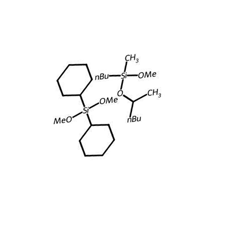 CCCCC(C)O[Si](C)(CCCC)OC.CO[Si](OC)(C1CCCCC1)C1CCCCC1